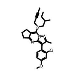 CC#CCN(CC(C)CC)c1c2c(nc3c(-c4ccc(OC)cc4Cl)c(C)nn13)CCC2